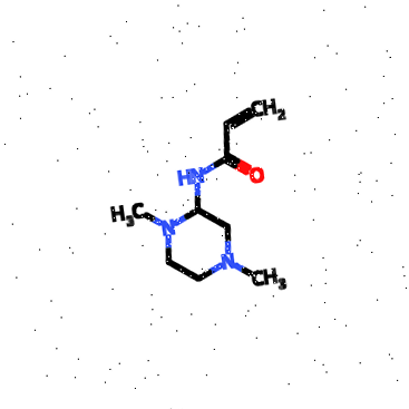 C=CC(=O)NC1CN(C)CCN1C